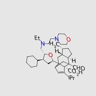 CCN(CCN1CCOCC1)C[C@@H]1O[C@@H](C23C[C@@H]4[C@H](C)CC[C@H]4C4(C=O)CC2C=C(C(C)C)[C@]43C(=O)O)C[C@H]1C1CCCCC1